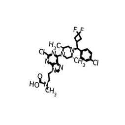 C[C@@H]1CN(c2nc(Cl)nc3c2ncn3CCN(C)C(=O)O)[C@@H](C)CN1C(c1ccc(Cl)cc1)C1CC(F)(F)C1